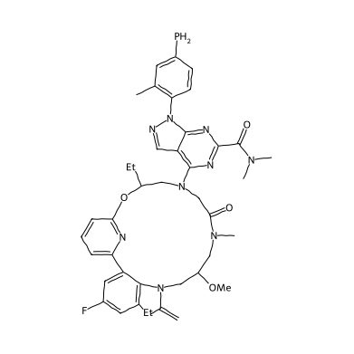 C=C(C)N1CC(OC)CN(C)C(=O)CN(c2nc(C(=O)N(C)C)nc3c2cnn3-c2ccc(P)cc2C)CC(CC)Oc2cccc(n2)-c2cc(F)cc(CC)c21